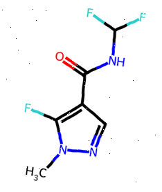 Cn1ncc(C(=O)NC(F)F)c1F